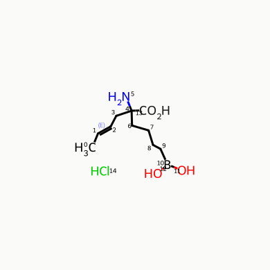 C/C=C/CC(N)(CCCCB(O)O)C(=O)O.Cl